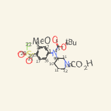 COc1cc(N(C(=O)OC(C)(C)C)[C@@H]2CCCN(C(=O)O)C2)ccc1S(=O)(=O)F